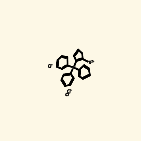 [Cl-].[Cl-].[Cl-].[Ti+3][C]1=C([Si](c2ccccc2)(c2ccccc2)c2ccccc2)C=CC1